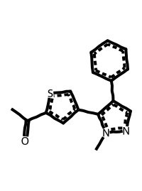 CC(=O)c1cc(-c2c(-c3ccccc3)cnn2C)cs1